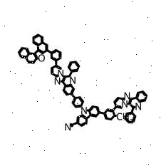 CC1CC=C(c2ccc3c(c2)c2ccc(C#N)cc2n3-c2ccc(-c3ccc4c(c3)nc(-c3ccccc3)c3c4nc4ccc(-c5cccc(-c6cc7ccccc7c7c6oc6ccc8ccccc8c67)c5)cn43)cc2)C=C1c1ccc2nc3c4ccccc4nc(-c4ccccc4)c3n2c1